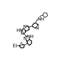 CCc1ccc(-c2cccc3[nH]c(-c4n[nH]c5ncc(-c6cncc(CNCC7CCCC7)c6)cc45)nc23)s1